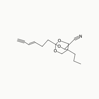 C#C/C=C/CCC12OCC(CCC)(CO1)C(C#N)O2